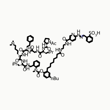 CCCCc1ccc(OC(=O)N(C)c2ccccc2CNC(=O)[C@H](CC(C)C)NC(=O)[C@H](CCCCN(C)C)NC(=O)[C@H](CCc2ccccc2)NC(=O)CNC(=O)[C@H](CC(C)C)NC(=O)[C@@H]2CCCN2C(C)=O)c(CCCCCCCC(=O)NCCNC(=O)c2ccc(N/N=C/c3ccccc3S(=O)(=O)O)nc2)c1